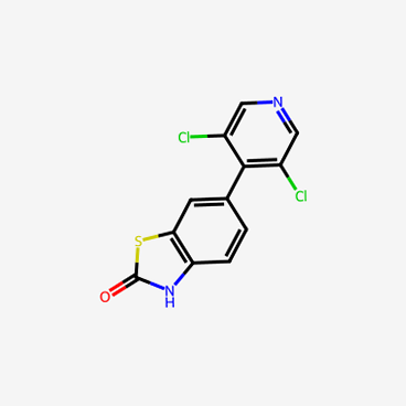 O=c1[nH]c2ccc(-c3c(Cl)cncc3Cl)cc2s1